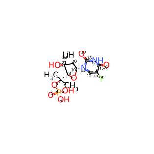 CC(C)(OP(=O)(O)O)[C@H]1O[C@@H](n2cc(F)c(=O)[nH]c2=O)C[C@@H]1O.[LiH]